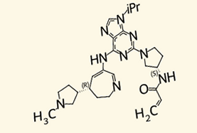 C=CC(=O)N[C@H]1CCN(c2nc(NC3=C[C@@H](C4CCN(C)C4)CCN=C3)c3ncn(C(C)C)c3n2)C1